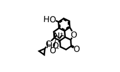 O=C1CCC2(O)C3Cc4c(O)ccc5c4[C@@]2(CC[N@+]3([O-])CC2CC2)C1O5